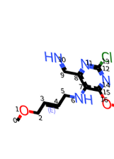 COC/C=C/CNc1c(C=N)nc(Cl)nc1OC